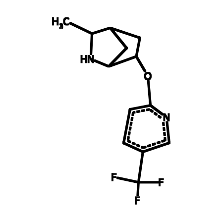 CC1NC2CC1CC2Oc1ccc(C(F)(F)F)cn1